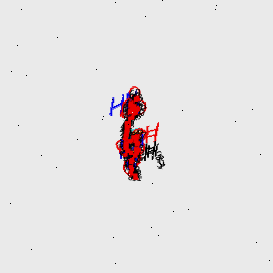 CC(C)(C)[C@H](NC(=O)c1cc2cc(C(F)(F)P(=O)(O)O)ccc2s1)C(=O)N1Cc2cc(OCC(=O)NCCCCCCCCCC#Cc3ccc4c(c3)C(=O)N(C3CCC(=O)NC3=O)C4=O)ccc2C[C@H]1C(=O)N1CCO[C@H](c2ccccc2)C1